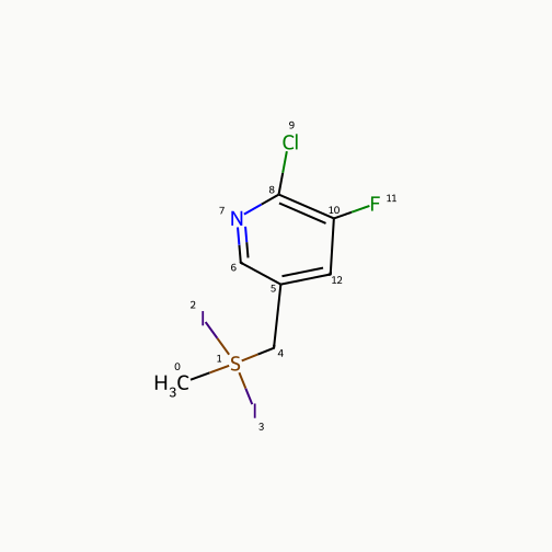 CS(I)(I)Cc1cnc(Cl)c(F)c1